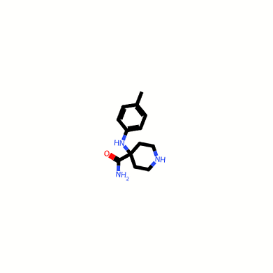 Cc1ccc(NC2(C(N)=O)CCNCC2)cc1